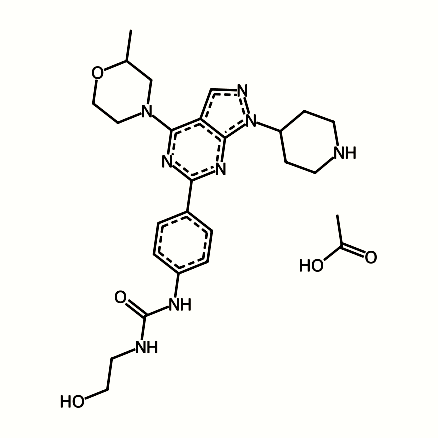 CC(=O)O.CC1CN(c2nc(-c3ccc(NC(=O)NCCO)cc3)nc3c2cnn3C2CCNCC2)CCO1